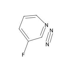 Fc1cccnc1.N#N